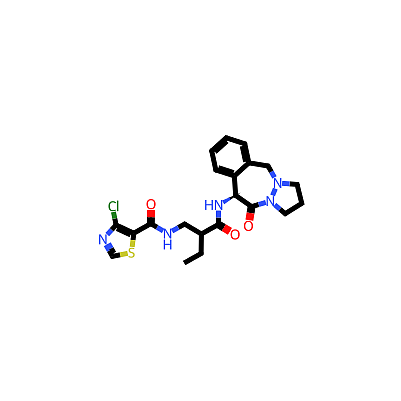 CCC(CNC(=O)c1scnc1Cl)C(=O)N[C@@H]1C(=O)N2CCCN2Cc2ccccc21